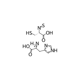 N[C@@H](Cc1c[nH]cn1)C(=O)O.O=C(O)[C@H](CS)N=S